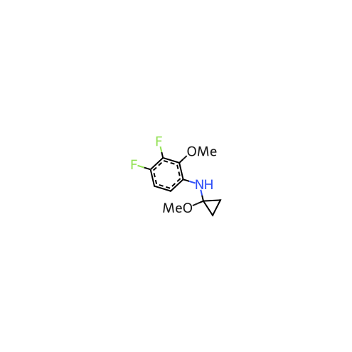 COc1c(NC2(OC)CC2)ccc(F)c1F